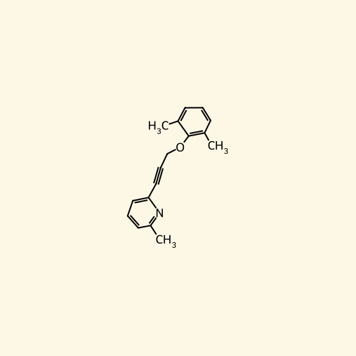 Cc1cccc(C#CCOc2c(C)cccc2C)n1